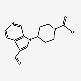 O=Cc1cn(C2CCN(C(=O)O)CC2)c2cnccc12